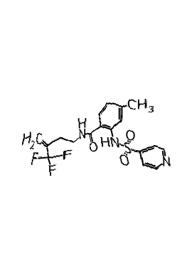 C=C(CCNC(=O)c1ccc(C)cc1NS(=O)(=O)c1ccncc1)C(F)(F)F